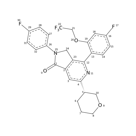 O=C1c2cc([C@H]3CCCOC3)nc(-c3ccc(F)cc3OCC(F)(F)F)c2CN1c1ccc(F)cc1